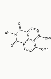 CCCN1C(=O)c2ccc(OC)c3c(OC)ccc(c23)C1=O